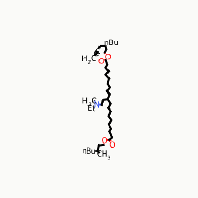 C=C=C=CC(CCCC)CCOC(=O)CCCCCCCCCC(CCCCCCCCCC(=O)OCCC(C)CCCC)CCN(C)CC